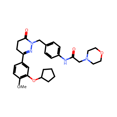 COc1ccc(C2=NN(Cc3ccc(NC(=O)CN4CCOCC4)cc3)C(=O)CC2)cc1OC1CCCC1